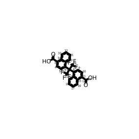 O=C(O)c1ccc(C(c2ccc(C(=O)O)c3ccccc23)(C(F)(F)F)C(F)(F)F)c2ccccc12